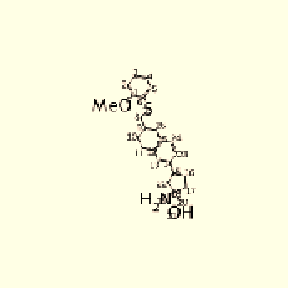 COc1ccccc1SC[C@@H]1CCc2cc([C@H]3CC[C@](N)(CO)C3)ccc2C1